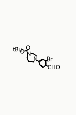 CC(C)(C)OC(=O)N1CCCN(c2ccc(C=O)c(Br)c2)CC1